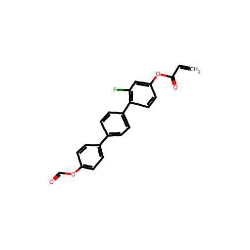 C=CC(=O)Oc1ccc(-c2ccc(-c3ccc(OC=O)cc3)cc2)c(F)c1